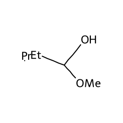 CCC(O)OC.[Pr]